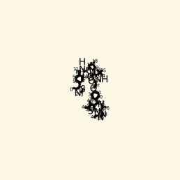 Cc1ncsc1-c1ccc([C@H](C)NC(=O)[C@@H]2C[C@@H](C)CN2C(=O)C(NC(=O)COc2ccc(C3=N[C@@H](C)c4nnc(C)n4-c4sc(C)c(C)c43)cc2)C(C)(C)C)cc1